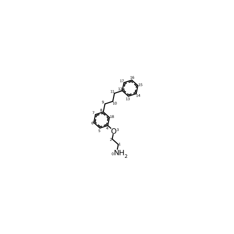 NCCOc1cccc(CCCc2ccccc2)c1